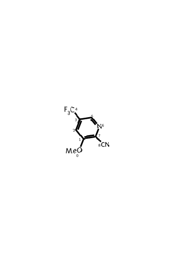 COc1cc(C(F)(F)F)cnc1C#N